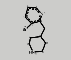 Brc1cccnc1CC1CCNCC1